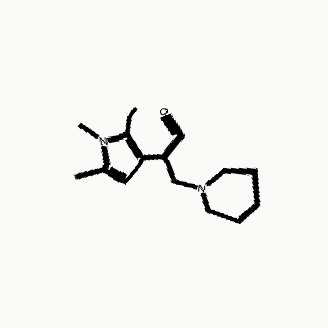 Cc1cc(C(C=O)CN2CCCCC2)c(C)n1C